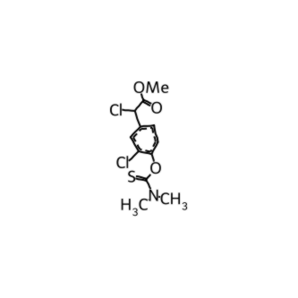 COC(=O)C(Cl)c1ccc(OC(=S)N(C)C)c(Cl)c1